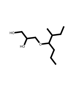 CCCC(OCC(O)CO)C(C)CC